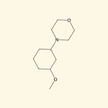 COC1CCC[C](N2CCOCC2)C1